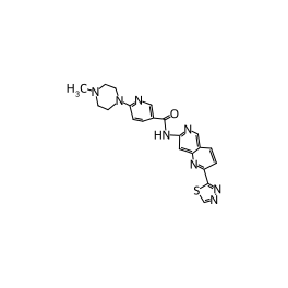 CN1CCN(c2ccc(C(=O)Nc3cc4nc(-c5nncs5)ccc4cn3)cn2)CC1